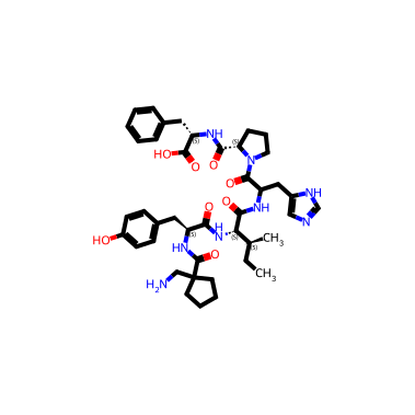 CC[C@H](C)[C@H](NC(=O)[C@H](Cc1ccc(O)cc1)NC(=O)C1(CN)CCCC1)C(=O)NC(Cc1cnc[nH]1)C(=O)N1CCC[C@H]1C(=O)N[C@@H](Cc1ccccc1)C(=O)O